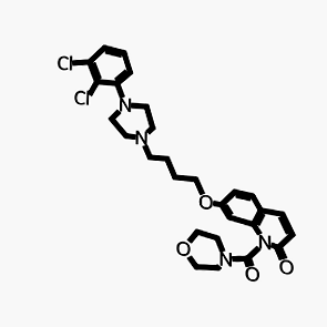 O=C(N1CCOCC1)n1c(=O)ccc2ccc(OCCCCN3CCN(c4cccc(Cl)c4Cl)CC3)cc21